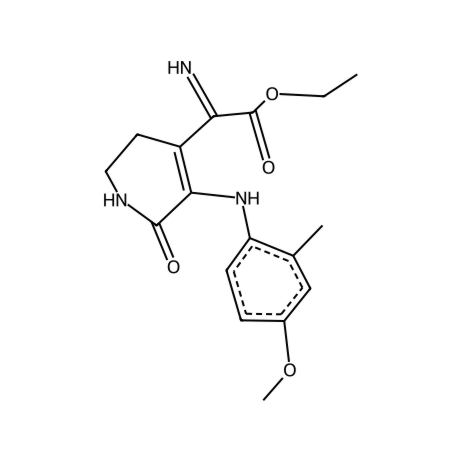 CCOC(=O)C(=N)C1=C(Nc2ccc(OC)cc2C)C(=O)NCC1